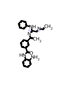 C=C/N=C/C(=N\C(=C)c1cccc(C(=O)Nc2ccccc2N)c1)Nc1ccccc1